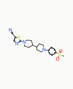 CS(=O)(=O)c1ccc(N2CCC(C3CCN(c4ncc(C#N)s4)CC3)CC2)cc1